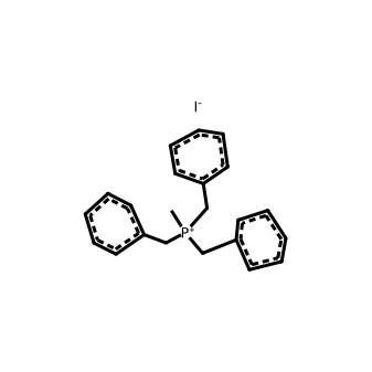 C[P+](Cc1ccccc1)(Cc1ccccc1)Cc1ccccc1.[I-]